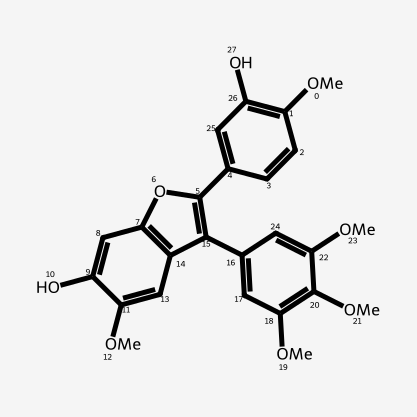 COc1ccc(-c2oc3cc(O)c(OC)cc3c2-c2cc(OC)c(OC)c(OC)c2)cc1O